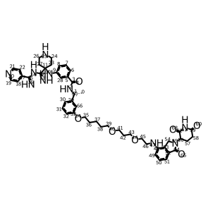 C[C@@H](NC(=O)c1cccc(NC2(C(=N)NC(=N)c3ccncc3)CCNCC2)c1)c1cccc(OCCCCCOCCCOCCNc2cccc3c2CN(C2CCC(=O)NC2=O)C3=O)c1